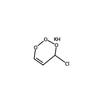 ClC1C=COOO1.[KH]